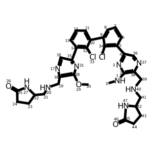 CNc1nc(-c2cccc(-c3cccc(-c4cnc(CNCC5CCC(=O)N5)c(OC)n4)c3Cl)c2Cl)cnc1CNCC1CCC(=O)N1